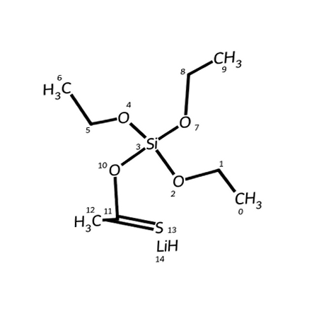 CCO[Si](OCC)(OCC)OC(C)=S.[LiH]